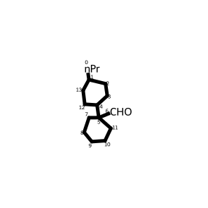 CCCC1CCC(C2(C=O)CCCCC2)CC1